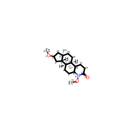 CCOC1C[C@H]2[C@@H]3CCC4N(OCC)C(=O)CC[C@]4(C)[C@@H]3CC[C@]2(C)C1